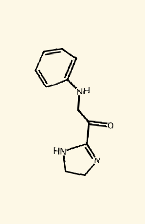 O=C(CNc1ccccc1)C1=NCCN1